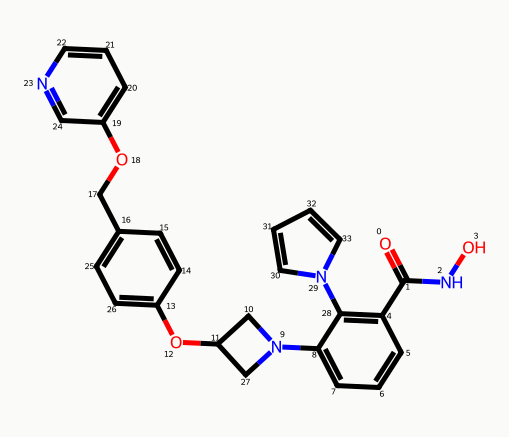 O=C(NO)c1cccc(N2CC(Oc3ccc(COc4cccnc4)cc3)C2)c1-n1cccc1